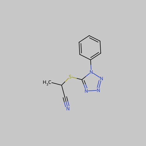 CC(C#N)Sc1nnnn1-c1ccccc1